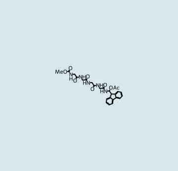 COC(=O)NCC(=O)NCC(=O)NCC(=O)NCC(=O)NC(OC(C)=O)C1c2ccccc2-c2ccccc21